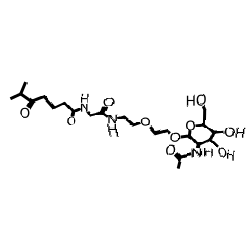 CC(=O)NC1C(OCCOCCNC(=O)CNC(=O)CCCC(=O)C(C)C)OC(CO)C(O)C1O